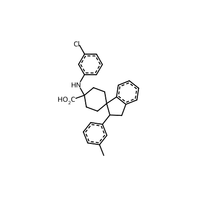 Cc1cccc(C2Cc3ccccc3C23CCC(Nc2cccc(Cl)c2)(C(=O)O)CC3)c1